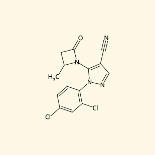 CC1CC(=O)N1c1c(C#N)cnn1-c1ccc(Cl)cc1Cl